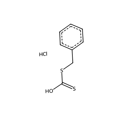 Cl.OC(=S)SCc1ccccc1